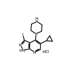 Cl.Ic1n[nH]c2ncc(C3CC3)c(N3CCNCC3)c12